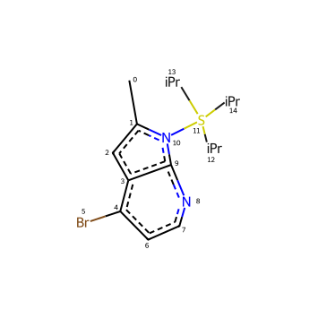 Cc1cc2c(Br)ccnc2n1S(C(C)C)(C(C)C)C(C)C